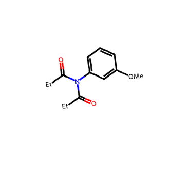 CCC(=O)N(C(=O)CC)c1cccc(OC)c1